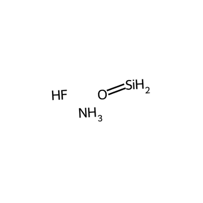 F.N.O=[SiH2]